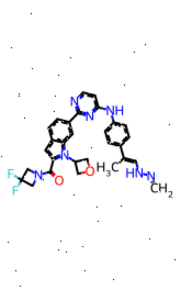 C=NN/C=C(\C)c1ccc(Nc2ccnc(-c3ccc4cc(C(=O)N5CC(F)(F)C5)n(C5COC5)c4c3)n2)cc1